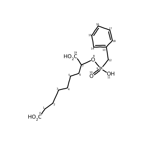 O=C(O)CCCCCCC(OP(=O)(O)Cc1ccccc1)C(=O)O